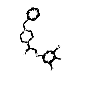 Cc1c(Br)cc(OCC(=O)N2CCN(Cc3ccccc3)CC2)cc1Br